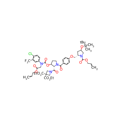 C=CCOC(=O)CN(C(=O)O[C@H]1CCN(C(=O)c2ccc(OC[C@@H]3C[C@@H](O[Si](C)(C)C(C)(C)C)CN3C(=O)OCC=C)cc2)[C@@H]1C(=O)N1CC(C(=O)OCC)(C(=O)OCC)C1)c1ccc(Cl)c(C(F)(F)F)c1